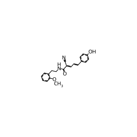 COc1ccccc1CCNC(=O)/C(C#N)=C/C=C/c1ccc(O)cc1